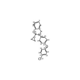 O=C(C1CC1)N(Cc1cccnc1)c1ccc(Oc2ccc(Cl)cc2)cc1